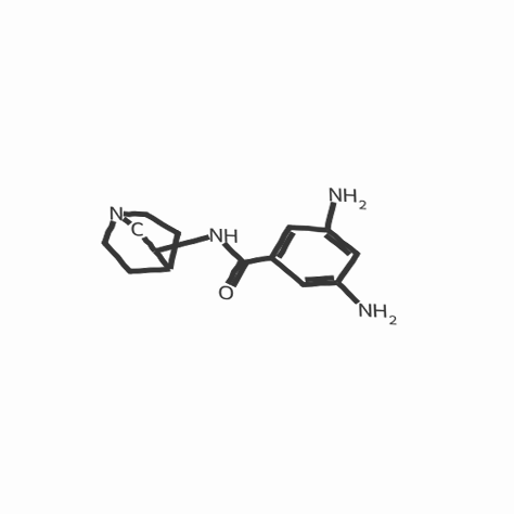 Nc1cc(N)cc(C(=O)NC2CN3CCC2CC3)c1